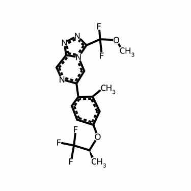 COC(F)(F)c1nnc2cnc(-c3ccc(O[C@@H](C)C(F)(F)F)cc3C)cn12